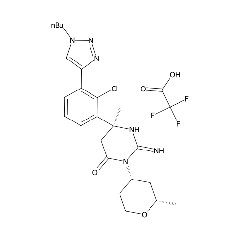 CCCCn1cc(-c2cccc([C@]3(C)CC(=O)N([C@H]4CCO[C@@H](C)C4)C(=N)N3)c2Cl)nn1.O=C(O)C(F)(F)F